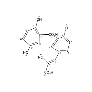 N#C/C(=C\c1ccc(Cl)cc1)C(=O)O.O=C(O)c1cc(O)ccc1O